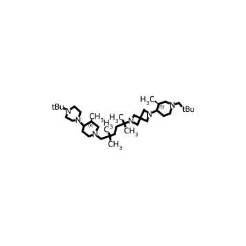 C[C@@H]1CN(CC(C)(C)CCC(C)(C)N2CC3(CN(C4CCN(CC(C)(C)C)C[C@@H]4C)C3)C2)CCC1N1CCN(C(C)(C)C)CC1